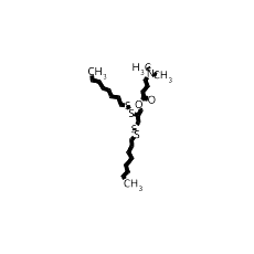 CCCCCCCCSSCC(COC(=O)CCCN(C)C)SSCCCCCCCC